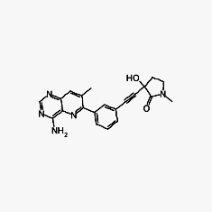 Cc1cc2ncnc(N)c2nc1-c1cccc(C#CC2(O)CCN(C)C2=O)c1